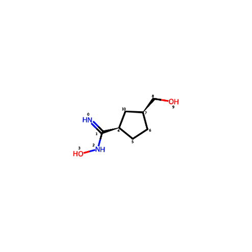 N=C(NO)[C@@H]1CC[C@H](CO)C1